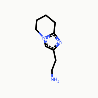 NCCc1cn2c(n1)CCCC2